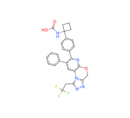 O=C(O)NC1(c2ccc(-c3nc4c(cc3-c3ccccc3)-n3c(nnc3CC(F)(F)F)CO4)cc2)CCC1